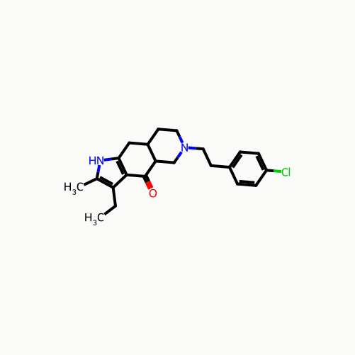 CCc1c(C)[nH]c2c1C(=O)C1CN(CCc3ccc(Cl)cc3)CCC1C2